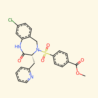 COC(=O)c1ccc(S(=O)(=O)N2Cc3ccc(Cl)cc3NC(=O)[C@H]2Cc2ccccn2)cc1